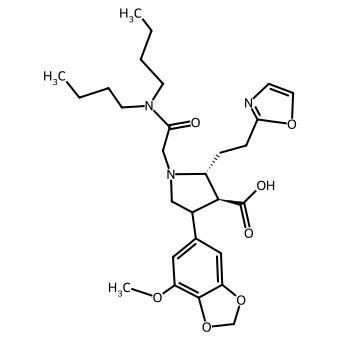 CCCCN(CCCC)C(=O)CN1CC(c2cc(OC)c3c(c2)OCO3)[C@H](C(=O)O)[C@H]1CCc1ncco1